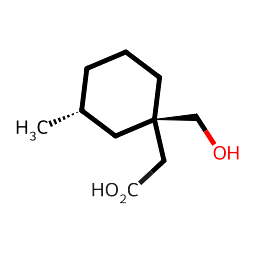 C[C@@H]1CCC[C@](CO)(CC(=O)O)C1